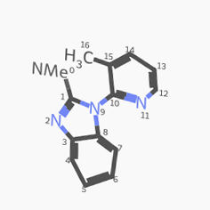 CNc1nc2ccccc2n1-c1ncccc1C